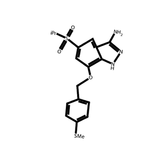 CSc1ccc(COc2cc(S(=O)(=O)C(C)C)cc3c(N)n[nH]c23)cc1